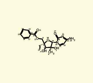 C[C@@]1(O)C(O)[C@@](CF)(COC(=O)c2ccccc2)O[C@H]1n1ccc(N)nc1=O